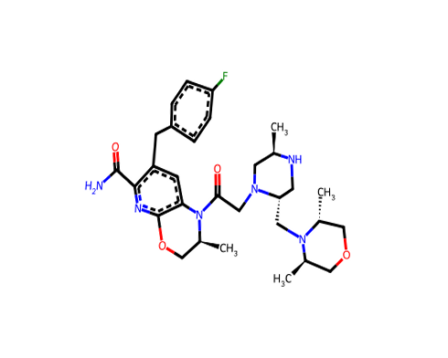 C[C@@H]1CN(CC(=O)N2c3cc(Cc4ccc(F)cc4)c(C(N)=O)nc3OC[C@@H]2C)[C@@H](CN2[C@H](C)COC[C@H]2C)CN1